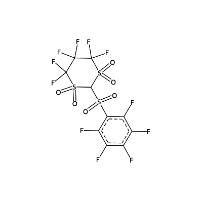 O=S(=O)(c1c(F)c(F)c(F)c(F)c1F)C1S(=O)(=O)C(F)(F)C(F)(F)C(F)(F)S1(=O)=O